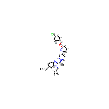 CC[C@H](c1nc2ccc(C(=O)O)cc2n1CC1CCC1)N1CCC(c2cccc(OCc3ccc(Cl)cc3F)n2)CC1